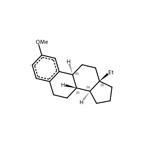 CC[C@@]12CCC[C@H]1[C@@H]1CCc3c[c]c(OC)cc3[C@H]1CC2